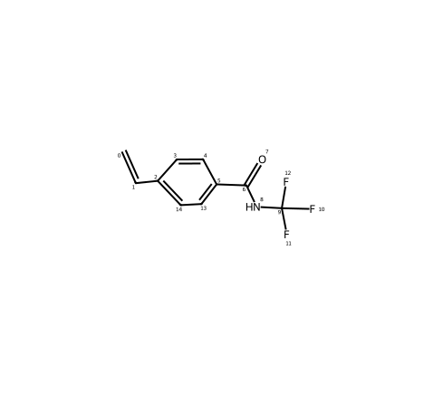 C=Cc1ccc(C(=O)NC(F)(F)F)cc1